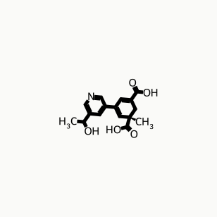 CC(O)c1cncc(C2=C[C@@](C)(C(=O)O)CC(C(=O)O)=C2)c1